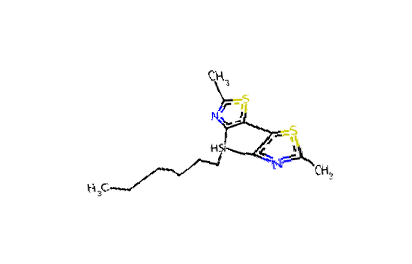 CCCCCC[SiH]1c2nc(C)sc2-c2sc(C)nc21